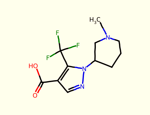 CN1CCCC(n2ncc(C(=O)O)c2C(F)(F)F)C1